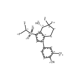 N#Cc1ccc(-n2cc(S(=O)(=O)C(F)F)c3c2CCC(F)(F)[C@H]3O)cc1C(F)(F)F